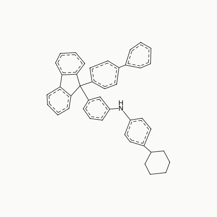 c1ccc(-c2ccc(C3(c4cccc(Nc5ccc(C6CCCCC6)cc5)c4)c4ccccc4-c4ccccc43)cc2)cc1